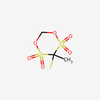 CC1(F)S(=O)(=O)OCOS1(=O)=O